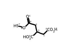 O=C(O)CC(CC(=O)OS)C(=O)O